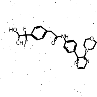 CC(O)C(F)(F)c1ccc(CC(=O)Nc2ccc(-c3nccnc3N3CCOCC3)cc2)cc1